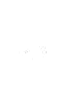 COc1cc2ncnc(SCCCCNS(N)(=O)=O)c2cc1OC.Cl